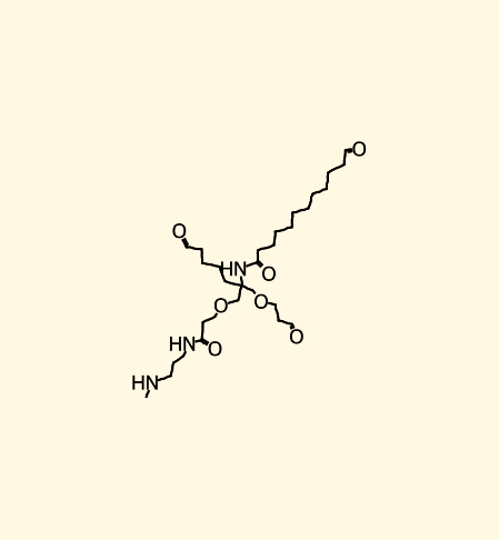 CNCCCNC(=O)CCOCC(CCCCC=O)(COCCC=O)NC(=O)CCCCCCCCCCC=O